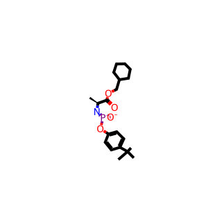 C[C@H](N=[P+]([O-])Oc1ccc(C(C)(C)C)cc1)C(=O)OCC1CCCCC1